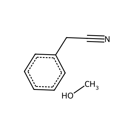 CO.N#CCc1ccccc1